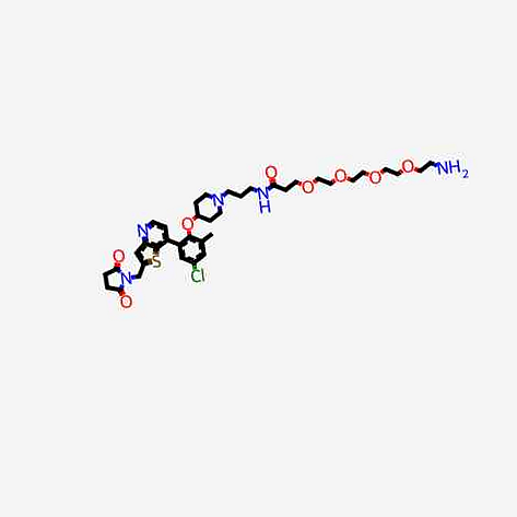 Cc1cc(Cl)cc(-c2ccnc3cc(CN4C(=O)CCC4=O)sc23)c1OC1CCN(CCCNC(=O)CCOCCOCCOCCOCCN)CC1